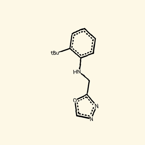 CC(C)(C)c1ccccc1NCc1nnco1